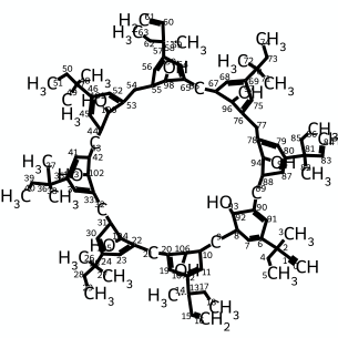 C#CC(C)(CC)C1=CC2CC3C=C([C@](C)(C=C)CC)C=C(CC4=CC(C(C)(C)CC)=CC(CC5=CC(C(C)(C)CC)=CC(CC6C=C(C(C)(C)CC)C=C(CC7C=C([C@](C)(C=C)CC)C=C(CC8C=C(C(C)(C)CC)C=C(CC9=CC(C(C)(C=C)CC)=CC(CC(=C1)C2O)C9O)C8O)C7O)C6O)C5O)C4O)C3O